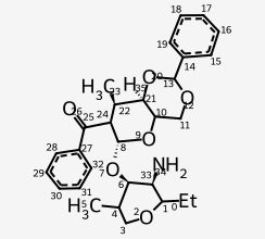 CCC1OCC(C)[C@@H](O[C@H]2OC3COC(c4ccccc4)O[C@@H]3[C@H](C)C2C(=O)c2ccccc2)[C@H]1N